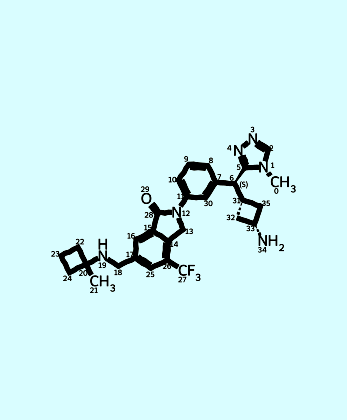 Cn1cnnc1[C@H](c1cccc(N2Cc3c(cc(CNC4(C)CCC4)cc3C(F)(F)F)C2=O)c1)[C@H]1C[C@@H](N)C1